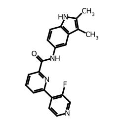 Cc1[nH]c2ccc(NC(=O)c3cccc(-c4ccncc4F)n3)cc2c1C